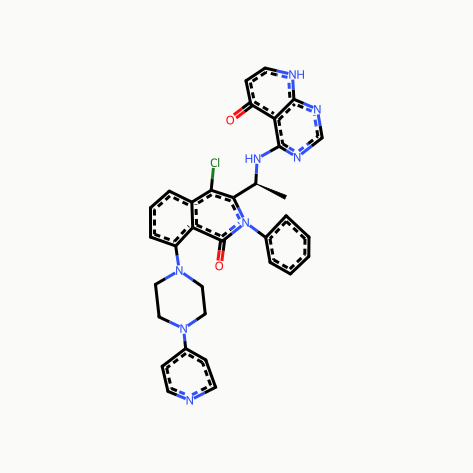 C[C@H](Nc1ncnc2[nH]ccc(=O)c12)c1c(Cl)c2cccc(N3CCN(c4ccncc4)CC3)c2c(=O)n1-c1ccccc1